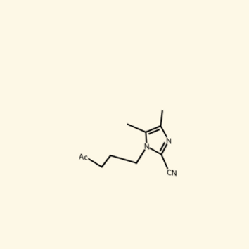 CC(=O)CCCn1c(C#N)nc(C)c1C